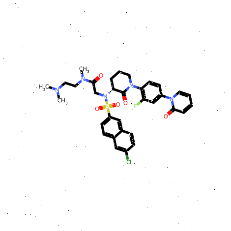 CN(C)CCN(C)C(=O)CN([C@@H]1CCCN(c2ccc(-n3ccccc3=O)cc2F)C1=O)S(=O)(=O)c1ccc2cc(Cl)ccc2c1